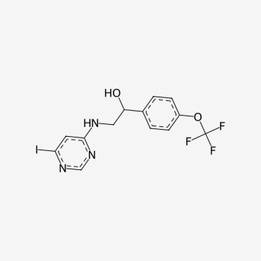 OC(CNc1cc(I)ncn1)c1ccc(OC(F)(F)F)cc1